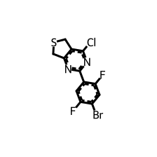 Fc1cc(-c2nc(Cl)c3c(n2)CSC3)c(F)cc1Br